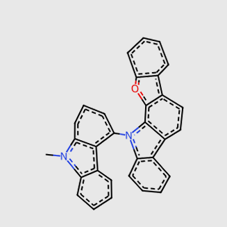 Cn1c2ccccc2c2c(-n3c4ccccc4c4ccc5c6ccccc6oc5c43)cccc21